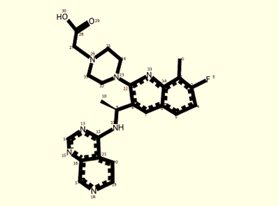 Cc1c(F)ccc2cc([C@H](C)Nc3ncnc4cnccc34)c(N3CCN(CC(=O)O)CC3)nc12